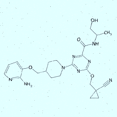 CC(CO)NC(=O)c1nc(OCC2(C#N)CC2)nc(N2CCC(COc3cccnc3N)CC2)n1